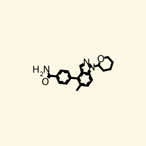 Cc1ccc2c(cnn2C2CCCCO2)c1-c1ccc(C(N)=O)cc1